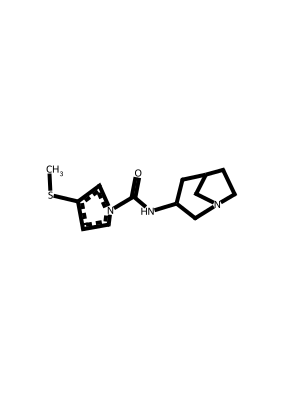 CSc1ccn(C(=O)NC2CC3CCN(C3)C2)c1